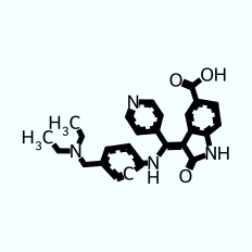 CCN(CC)Cc1ccc(N/C(=C2\C(=O)Nc3ccc(C(=O)O)cc32)c2ccncc2)cc1